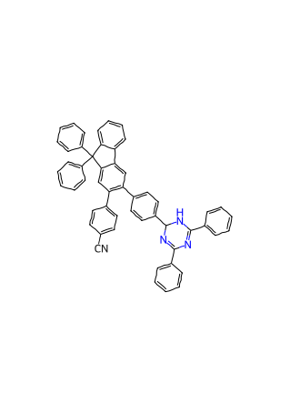 N#Cc1ccc(-c2cc3c(cc2-c2ccc(C4N=C(c5ccccc5)N=C(c5ccccc5)N4)cc2)-c2ccccc2C3(c2ccccc2)c2ccccc2)cc1